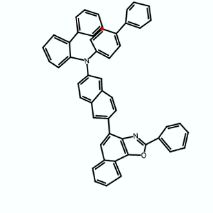 c1ccc(-c2ccc(N(c3ccc4cc(-c5cc6ccccc6c6oc(-c7ccccc7)nc56)ccc4c3)c3ccccc3-c3ccccc3)cc2)cc1